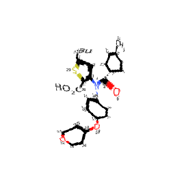 CC(C)(C)c1cc(N(C(=O)[C@H]2CC[C@H](C)CC2)[C@H]2CC[C@H](OC3CCOCC3)CC2)c(C(=O)O)s1